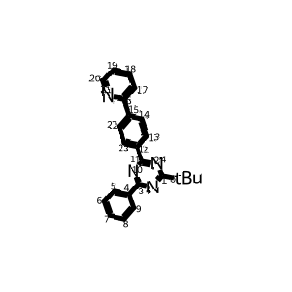 CC(C)(C)c1nc(-c2ccccc2)nc(-c2ccc(-c3ccccn3)cc2)n1